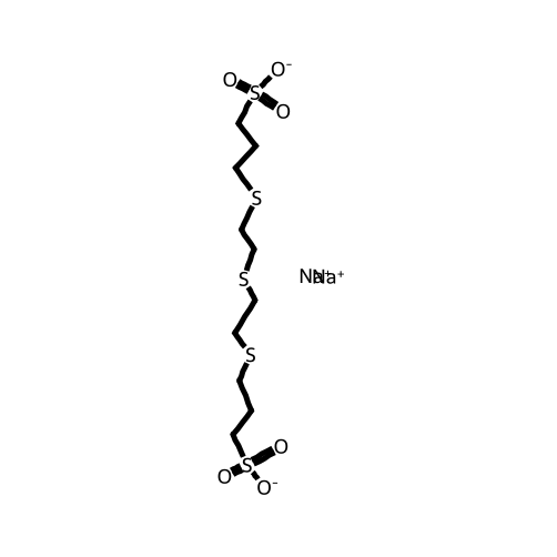 O=S(=O)([O-])CCCSCCSCCSCCCS(=O)(=O)[O-].[Na+].[Na+]